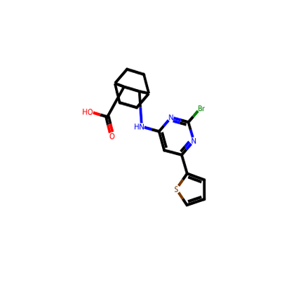 O=C(O)C1C2CCC(CC2)C1Nc1cc(-c2cccs2)nc(Br)n1